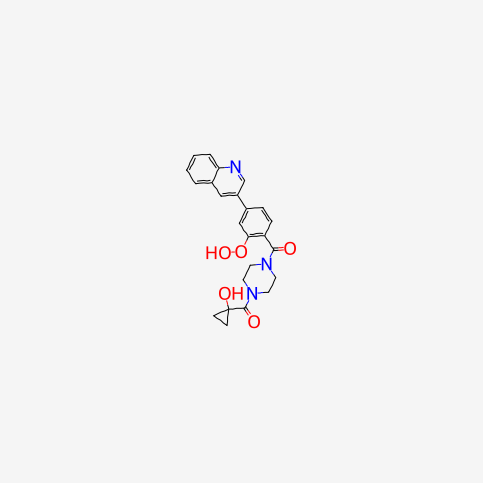 O=C(c1ccc(-c2cnc3ccccc3c2)cc1OO)N1CCN(C(=O)C2(O)CC2)CC1